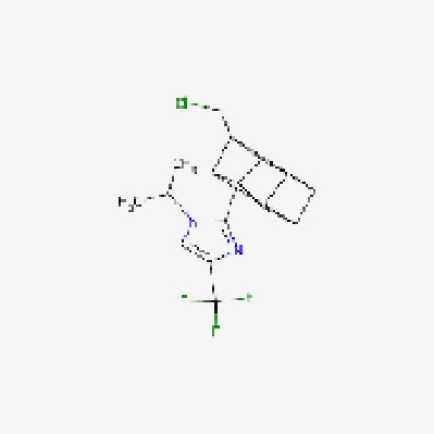 CC(C)n1cc(C(F)(F)F)nc1C12C3C4C5C3C1C5(CCl)C42